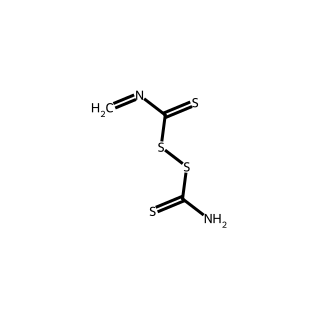 C=NC(=S)SSC(N)=S